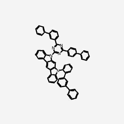 c1ccc(-c2ccc(-c3nc(-c4cccc(-c5ccccc5)c4)nc(-n4c5ccccc5c5cc6c7ccccc7n(-c7ccccc7-c7cccc(-c8ccccc8)c7)c6cc54)n3)cc2)cc1